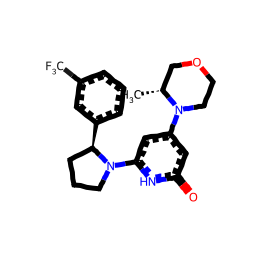 C[C@@H]1COCCN1c1cc(N2CCC[C@H]2c2cccc(C(F)(F)F)c2)[nH]c(=O)c1